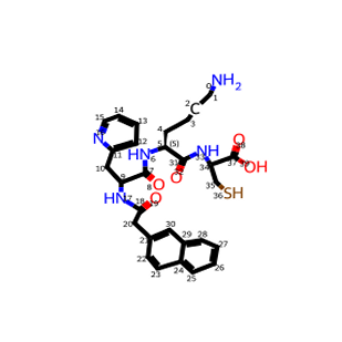 NCCCC[C@H](NC(=O)C(Cc1ccccn1)NC(=O)Cc1ccc2ccccc2c1)C(=O)NC(CS)C(=O)O